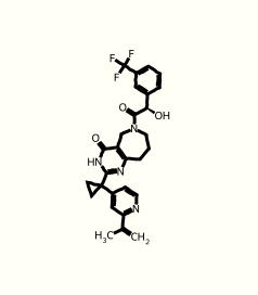 C=C(C)c1cc(C2(c3nc4c(c(=O)[nH]3)CN(C(=O)[C@H](O)c3cccc(C(F)(F)F)c3)CCC4)CC2)ccn1